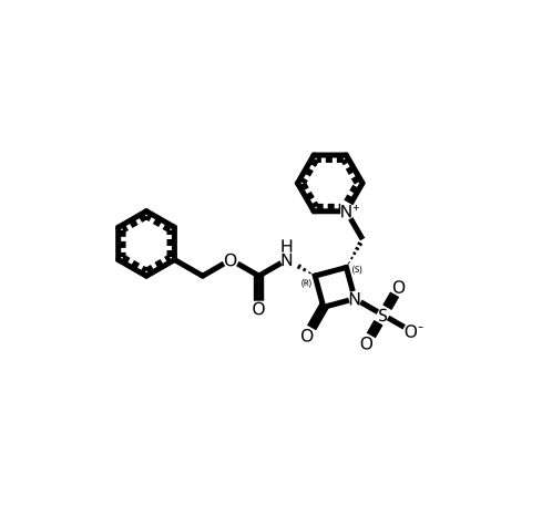 O=C(N[C@H]1C(=O)N(S(=O)(=O)[O-])[C@H]1C[n+]1ccccc1)OCc1ccccc1